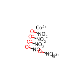 O=[N+]([O-])[O-].O=[N+]([O-])[O-].O=[N+]([O-])[O-].O=[N+]([O-])[O-].O=[N+]([O-])[O-].[Co+2].[Ir+3]